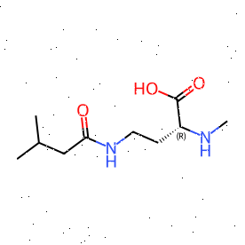 CN[C@H](CCNC(=O)CC(C)C)C(=O)O